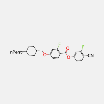 CCCCC[C@H]1CC[C@H](COc2ccc(C(=O)Oc3ccc(C#N)c(F)c3)c(F)c2)CC1